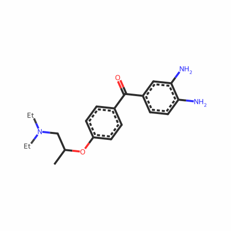 CCN(CC)CC(C)Oc1ccc(C(=O)c2ccc(N)c(N)c2)cc1